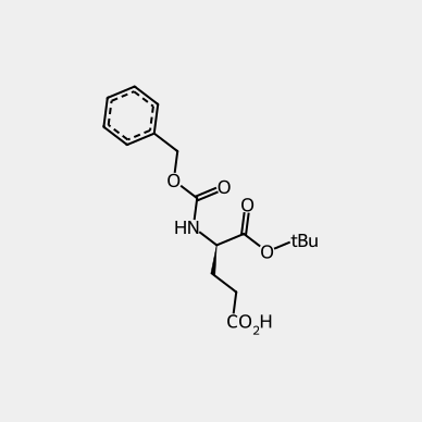 CC(C)(C)OC(=O)[C@@H](CCC(=O)O)NC(=O)OCc1ccccc1